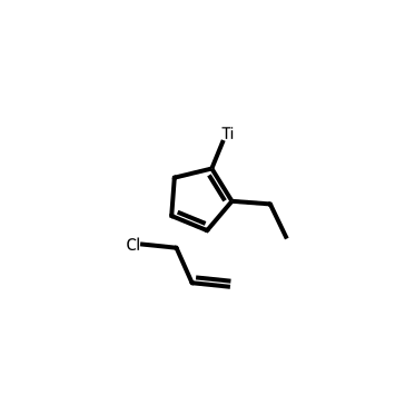 C=CCCl.CCC1=[C]([Ti])CC=C1